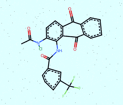 CC(=O)N(Cl)c1ccc2c(c1NC(=O)c1cccc(C(F)(F)F)c1)C(=O)c1ccccc1C2=O